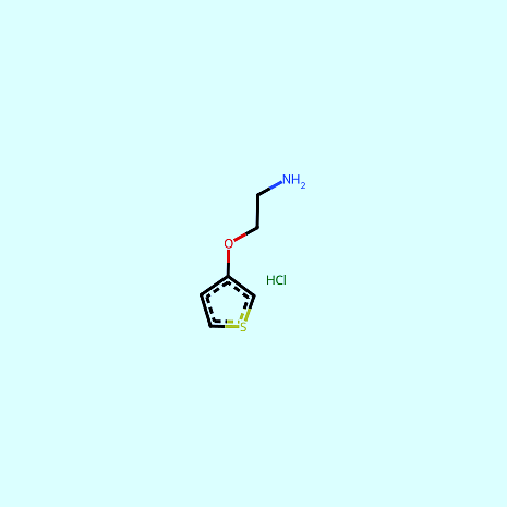 Cl.NCCOc1ccsc1